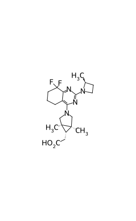 C[C@H]1CCN1c1nc(N2C[C@@]3(C)[C@H](CC(=O)O)[C@@]3(C)C2)c2c(n1)C(F)(F)CCC2